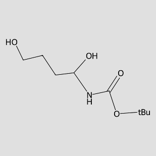 CC(C)(C)OC(=O)NC(O)CCCO